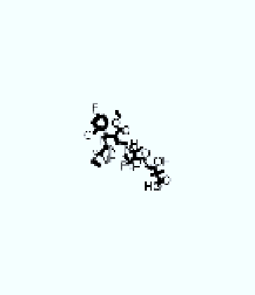 CCOC(=O)C1=C(CN2CC(F)(F)[C@H]3[C@@H]2CON3C[C@H](O)C(C)(C)C(=O)O)NC(c2nccs2)=N[C@H]1c1ccc(F)cc1Cl